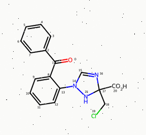 O=C(c1ccccc1)c1ccccc1N1C=NC(CCl)(C(=O)O)N1